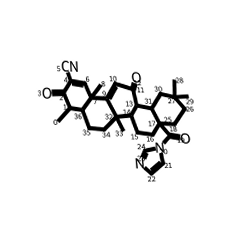 CC1C(=O)C(C#N)=CC2(C)C3=CC(=O)C4C(CCC5(C(=O)n6ccnc6)CCC(C)(C)CC45)C3(C)CCC12